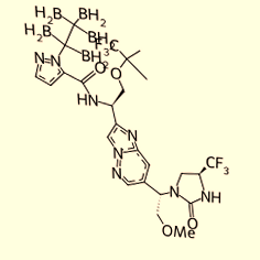 BC(B)(B)C(B)(B)n1nccc1C(=O)N[C@@H](COC(C)(C)C(F)(F)F)c1cn2ncc([C@@H](COC)N3C[C@@H](C(F)(F)F)NC3=O)cc2n1